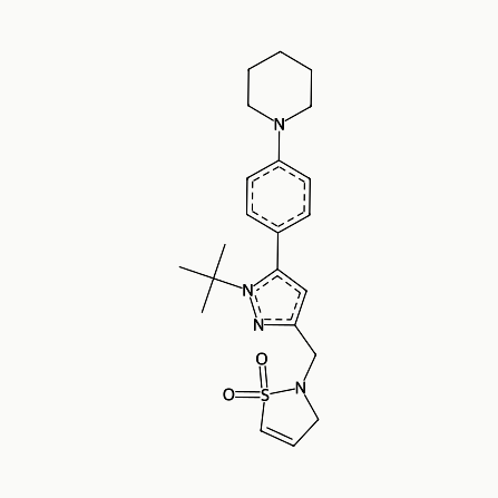 CC(C)(C)n1nc(CN2CC=CS2(=O)=O)cc1-c1ccc(N2CCCCC2)cc1